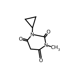 CN1C(=O)CC(=O)N(C2CC2)C1=O